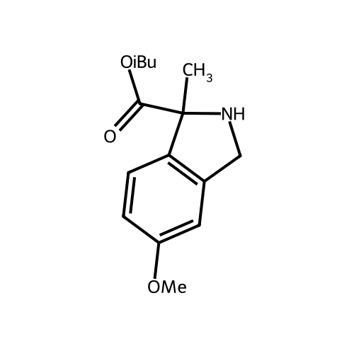 COc1ccc2c(c1)CNC2(C)C(=O)OCC(C)C